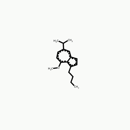 CCCCc1ccc2cc(C(C)C)ccc(OC)c1-2